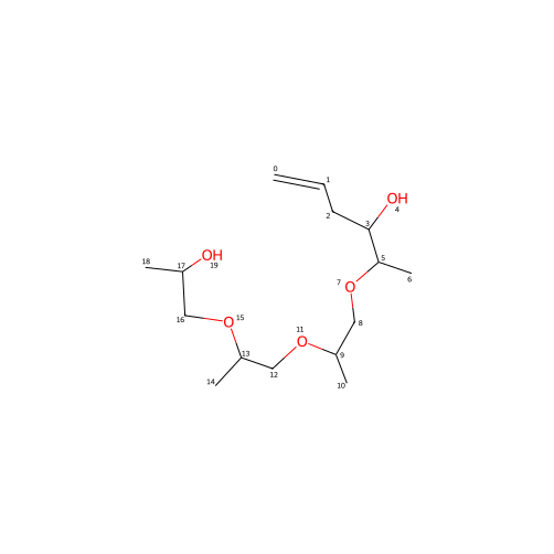 C=CCC(O)C(C)OCC(C)OCC(C)OCC(C)O